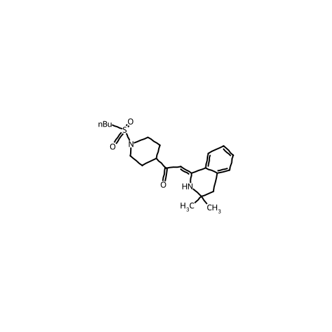 CCCCS(=O)(=O)N1CCC(C(=O)C=C2NC(C)(C)Cc3ccccc32)CC1